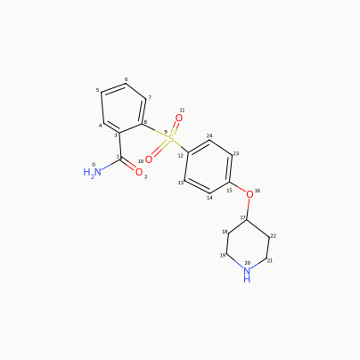 NC(=O)c1ccccc1S(=O)(=O)c1ccc(OC2CCNCC2)cc1